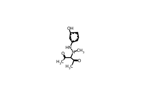 CC(=O)C(C(C)=O)N(C)Nc1cccc(O)c1